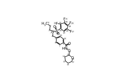 CCCN(Cc1ccc(C(=O)NOC2CCCCO2)cc1)S(=O)(=O)c1cc(F)c(F)c(F)c1F